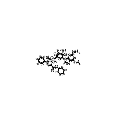 CCOc1nc(N)nc2c1ncn2C1O[C@](F)(COP(=O)(NC(C)C(=O)OC2CCCCC2)Oc2ccccc2)[C@@H](F)[C@@]1(C)O